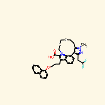 Cn1nc(CC(F)F)c2c1CCCCCCn1c(C(=O)O)c(CCCOc3cccc4ccccc34)c3cccc-2c31